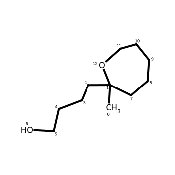 CC1(CCCCO)CCCCCO1